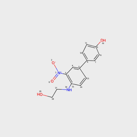 O=[N+]([O-])c1cc(-c2ccc(O)cc2)ccc1NCCO